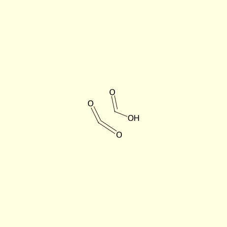 O=C=O.O=CO